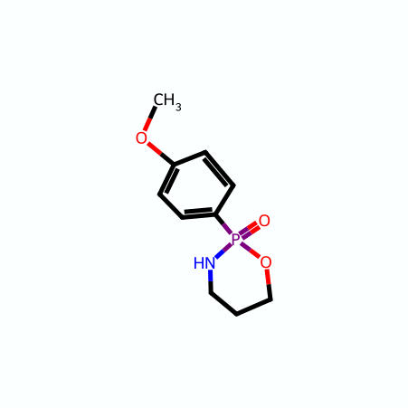 COc1ccc(P2(=O)NCCCO2)cc1